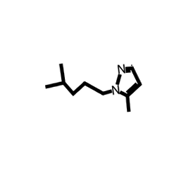 Cc1c[c]nn1CCCC(C)C